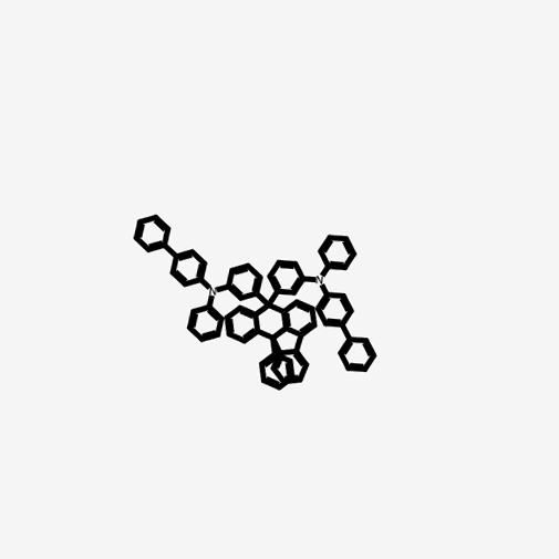 c1ccc(-c2ccc(N(c3ccccc3)c3cccc(C4(c5cccc(N(c6ccccc6)c6ccc(-c7ccccc7)cc6)c5)c5ccccc5C5(c6ccccc6)c6ccccc6-c6cccc4c65)c3)cc2)cc1